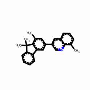 Cc1cc(-c2cnc3c(C)cccc3c2)cc2c1C(C)(C)c1ccccc1-2